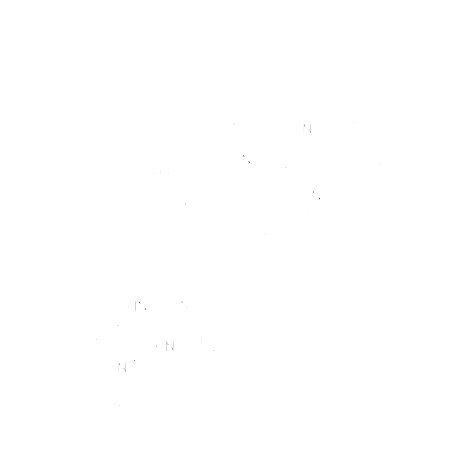 N#CN1C2CCC1C(NC(=O)c1ccc3c(c1)OCCN3c1nccc(C3CC3)n1)C2